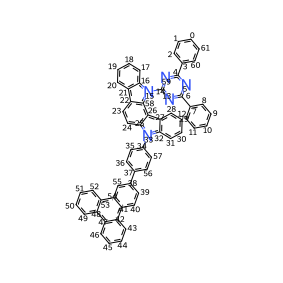 c1ccc(-c2nc(-c3ccccc3)nc(-n3c4ccccc4c4ccc5c(c6ccccc6n5-c5ccc(-c6ccc7c8ccccc8c8ccccc8c7c6)cc5)c43)n2)cc1